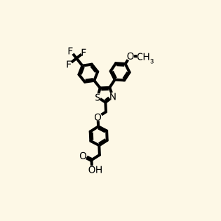 COc1ccc(-c2nc(COc3ccc(CC(=O)O)cc3)sc2-c2ccc(C(F)(F)F)cc2)cc1